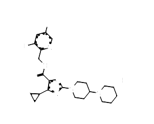 C[C@@H]1CCCN(C2CCN(c3nc(C4CC4)c(C(=O)NCc4ncc(F)cc4F)s3)CC2)C1